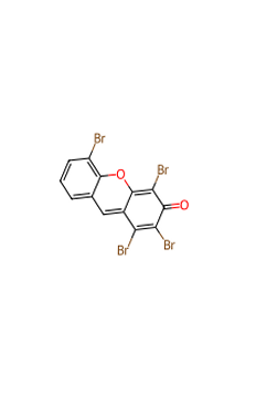 O=c1c(Br)c2oc3c(Br)cccc3cc-2c(Br)c1Br